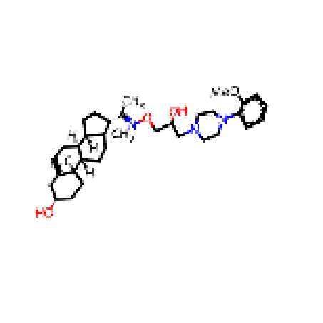 COc1ccccc1N1CCN(CC(O)CON=C(C)[C@H]2CC[C@H]3[C@@H]4CC=C5C[C@@H](O)CC[C@]5(C)[C@H]4CC[C@]23C)CC1